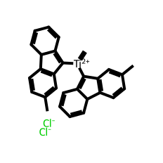 [CH2]=[Ti+2]([C]1=C2C=CC=CC2c2ccc(C)cc21)[C]1=C2C=CC=CC2c2ccc(C)cc21.[Cl-].[Cl-]